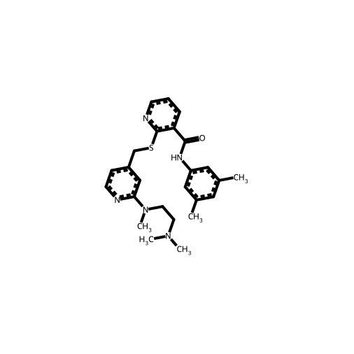 Cc1cc(C)cc(NC(=O)c2cccnc2SCc2ccnc(N(C)CCN(C)C)c2)c1